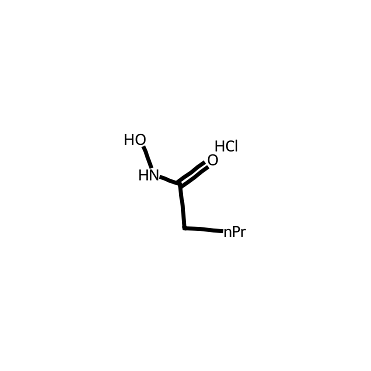 CCCCC(=O)NO.Cl